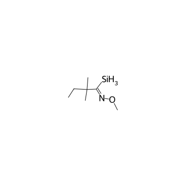 CCC(C)(C)C([SiH3])=NOC